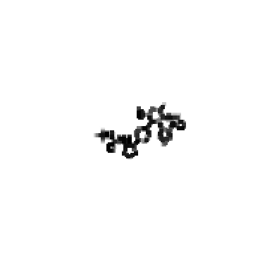 COc1cc(C)c2[nH]c(=O)c3cscc3c2c1-c1ccc([C@H]2CCC[C@H]2NC(=O)OC(C)(C)C)cc1